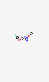 Cc1[nH]c(COc2ccccc2)nc1-c1ccc(Oc2ccc(F)cc2)cc1